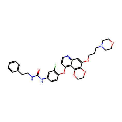 O=C(NCCc1ccccc1)Nc1ccc(Oc2ccnc3cc(OCCCN4CCOCC4)c4c(c23)OCCO4)c(F)c1